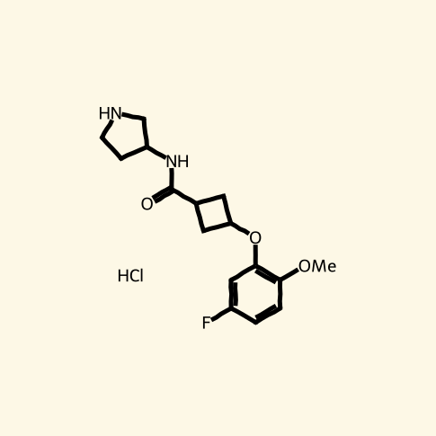 COc1ccc(F)cc1OC1CC(C(=O)NC2CCNC2)C1.Cl